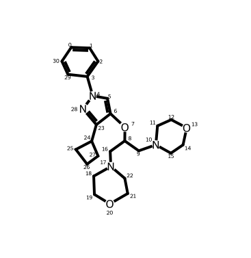 c1ccc(-n2cc(OC(CN3CCOCC3)CN3CCOCC3)c(C3CCC3)n2)cc1